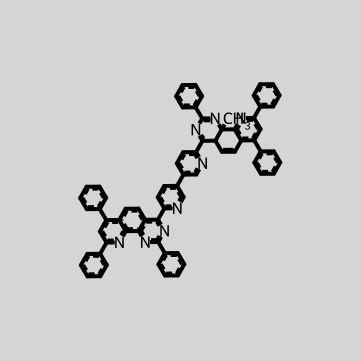 CC12N=C(c3ccccc3)N=C(c3ccc(-c4ccc(-c5nc(-c6ccccc6)nc6c5ccc5c(-c7ccccc7)cc(-c7ccccc7)nc56)nc4)cn3)C1C=Cc1c(-c3ccccc3)cc(-c3ccccc3)nc12